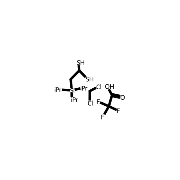 CC(C)[Si](CC(S)S)(C(C)C)C(C)C.ClCCl.O=C(O)C(F)(F)F